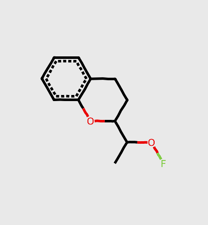 CC(OF)C1CCc2ccccc2O1